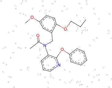 CCCOc1ccc(OC)cc1CN(C(C)=O)c1cccnc1Oc1ccccc1